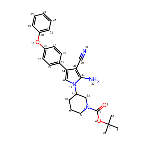 CC(C)(C)OC(=O)N1CCCC(n2cc(-c3ccc(Oc4ccccc4)cc3)c(C#N)c2N)C1